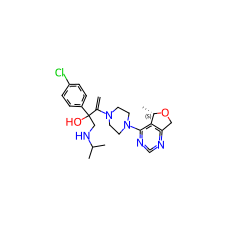 C=C(N1CCN(c2ncnc3c2[C@H](C)OC3)CC1)C(O)(CNC(C)C)c1ccc(Cl)cc1